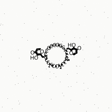 CN1CCN(C)CCN(Cc2occc(=O)c2O)CCOCCOCCN(Cc2occc(=O)c2O)CCN(C)CC1